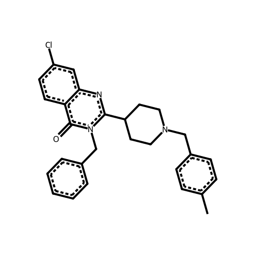 Cc1ccc(CN2CCC(c3nc4cc(Cl)ccc4c(=O)n3Cc3ccccc3)CC2)cc1